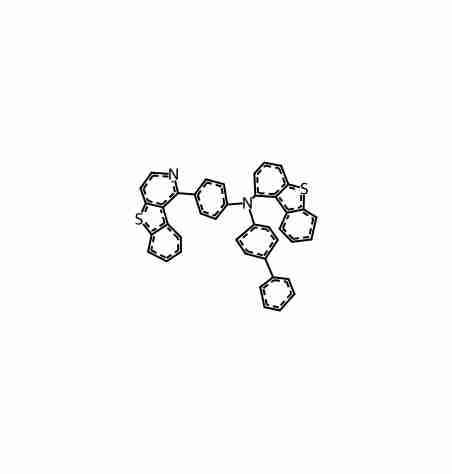 c1ccc(-c2ccc(N(c3ccc(-c4nccc5sc6ccccc6c45)cc3)c3cccc4sc5ccccc5c34)cc2)cc1